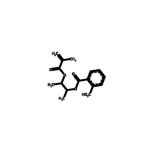 C=C(C)C(=O)OC(C)C(C)OC(=O)c1ccccc1C(=O)O